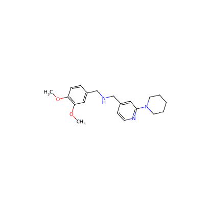 COc1ccc(CNCc2ccnc(N3CCCCC3)c2)cc1OC